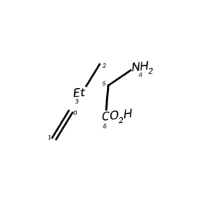 C=C.CCC.NCC(=O)O